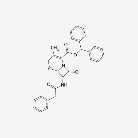 CC1=C(C(=O)OC(c2ccccc2)c2ccccc2)N2C(=O)C(NC(=O)Cc3ccccc3)C2OC1